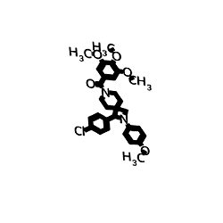 COc1ccc(N2CC3(CCN(C(=O)c4cc(OC)c(OC)c(OC)c4)CC3)C2c2ccc(Cl)cc2)cc1